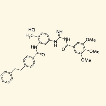 COc1cc(C(=O)NC(=N)Nc2ccc(C)c(NC(=O)c3ccc(CCc4ccccc4)cc3)c2)cc(OC)c1OC.Cl